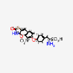 NC(Cc1ccc(Oc2ccc(/C=C3/SC(=O)NC3=O)cc2[N+](=O)[O-])cc1)C(=O)O